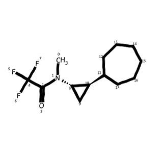 CN(C(=O)C(F)(F)F)[C@H]1C[C@@H]1C1CCCCCC1